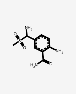 CS(=O)(=O)C(N)c1ccc(N)c(C(N)=O)c1